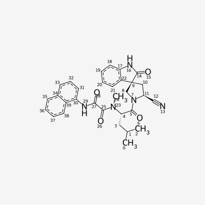 CC(C)C[C@@H](C(=O)N1C[C@]2(C[C@H]1C#N)C(=O)Nc1ccccc12)N(C)C(=O)C(=O)Nc1cccc2ccccc12